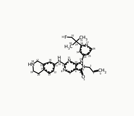 C=CCn1c(=O)c2cnc(Nc3ccc4c(c3)CNCC4)nc2n1-c1ccnc(C(C)(C)CF)c1